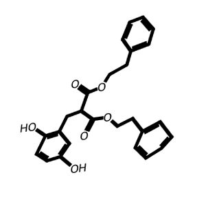 O=C(OCCc1ccccc1)C(Cc1cc(O)ccc1O)C(=O)OCCc1ccccc1